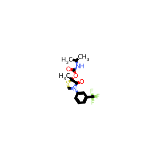 CC(C)NC(=O)OC1(C)SCN(c2cccc(C(F)(F)F)c2)C1=O